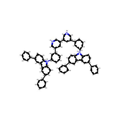 c1ccc(-c2ccc3c(c2)c2cc(-c4ccccc4)ccc2n3-c2cccc(-c3cncc(-c4cncc(-c5cccc(-n6c7ccc(-c8ccccc8)cc7c7cc(-c8ccccc8)ccc76)c5)c4)c3)c2)cc1